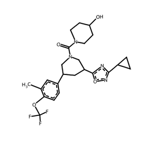 Cc1cc(C2CC(c3nc(C4CC4)no3)CN(C(=O)N3CCC(O)CC3)C2)ccc1OC(F)(F)F